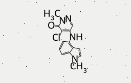 Cn1ncc(Nc2cccc3c2ccn3C)c(Cl)c1=O